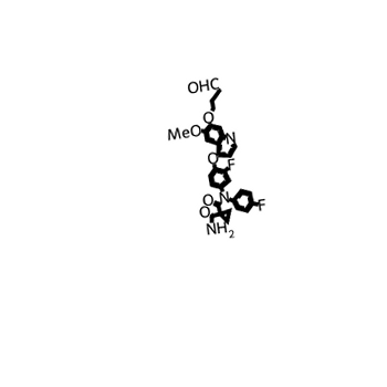 COc1cc2c(Oc3ccc(N(C(=O)C4(C(N)=O)CC4)c4ccc(F)cc4)cc3F)ccnc2cc1OCCCC=O